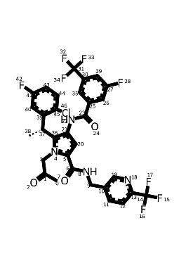 CC(=O)Cn1c(C(=O)NCc2ccc(C(F)(F)F)nc2)cc(NC(=O)c2cc(F)cc(C(F)(F)F)c2)c1[C@H](C)c1cc(F)ccc1Cl